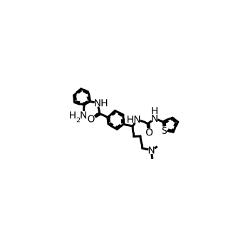 CN(C)CCCC(NC(=O)Nc1cccs1)c1ccc(C(=O)Nc2ccccc2N)cc1